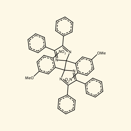 COc1ccc([N+](=O)[O-])c(C2(C3(c4cc(OC)ccc4[N+](=O)[O-])N=C(c4ccccc4)C(c4ccccc4)=N3)N=C(c3ccccc3)C(c3ccccc3)=N2)c1